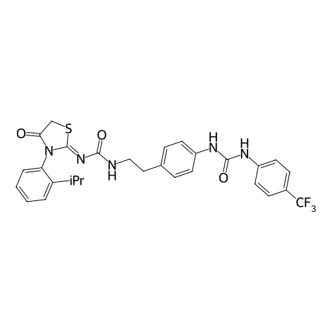 CC(C)c1ccccc1N1C(=O)CS/C1=N\C(=O)NCCc1ccc(NC(=O)Nc2ccc(C(F)(F)F)cc2)cc1